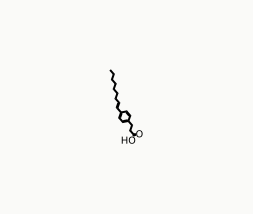 CCCCCCCC=Cc1ccc(CCC(=O)O)cc1